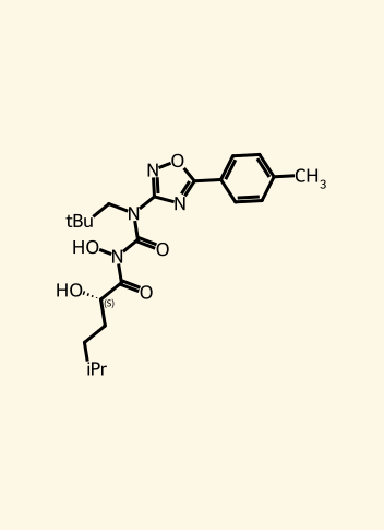 Cc1ccc(-c2nc(N(CC(C)(C)C)C(=O)N(O)C(=O)[C@@H](O)CCC(C)C)no2)cc1